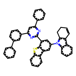 C1=Cc2c(n(-c3cc(-c4nc(-c5ccccc5)cc(-c5cccc(-c6ccccc6)c5)n4)c4sc5ccccc5c4c3)c3ccccc23)CC1